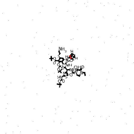 CCN1CCN(C(=O)NC(C(=O)N[C@@H](Cc2ccc(SCCN)c(C(=O)OC(C)(C)C)c2OC(=O)OC(C)(C)C)B2O[C@@H]3C[C@@H]4C[C@@H](C4(C)C)[C@]3(C)O2)c2csc(NC(=O)OC(C)(C)C)n2)C(O)C1=O